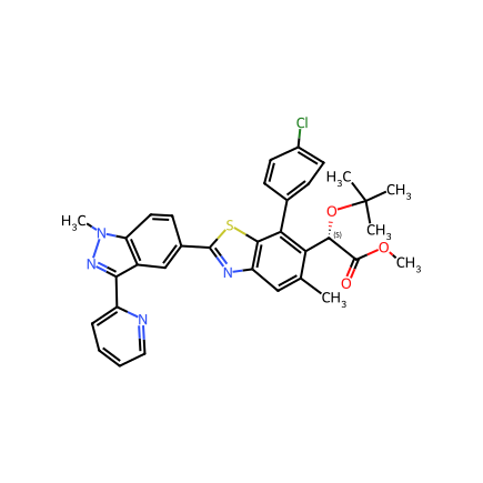 COC(=O)[C@@H](OC(C)(C)C)c1c(C)cc2nc(-c3ccc4c(c3)c(-c3ccccn3)nn4C)sc2c1-c1ccc(Cl)cc1